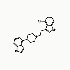 Clc1cccc2[nH]cc(CCN3CCC(c4cccc5[nH]ccc45)CC3)c12